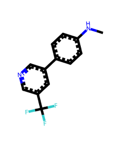 CNc1ccc(-c2cncc(C(F)(F)F)c2)cc1